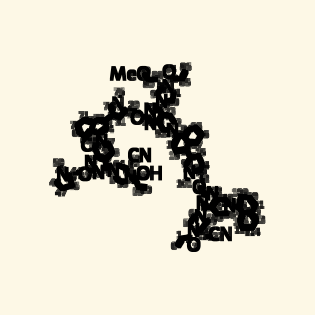 C=CC(=O)N1CCN(c2nc(OC[C@H]3CCC(c4ccc(N5CCc6c(nc(OC[C@@H]7CC(c8cc(N9CCc%10c(nc(OC[C@@H]%11CCCN%11C)nc%10N%10CCN(C(O)C=C)[C@@H](CC#N)C%10)C9)c9c(C(F)(F)F)cccc9c8)CN7C)nc6N6CCN(C(=O)C=C)[C@@H](CCOC)C6)C5)c5ccccc45)CN3C)nc3c2CCN(c2cccc4ccccc24)C3)C[C@@H]1CC#N